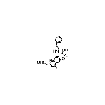 Cc1cc(CC=O)nc2cc3c(cc12)OC(C)(C)[C@H](O)[C@H]3NCCc1ccccc1